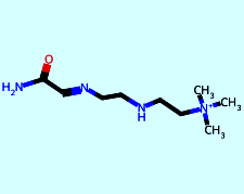 C[N+](C)(C)CCNCCN=CC(N)=O